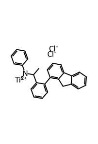 CC(c1ccccc1-c1cccc2c1Cc1ccccc1-2)[N]([Ti+2])c1ccccc1.[Cl-].[Cl-]